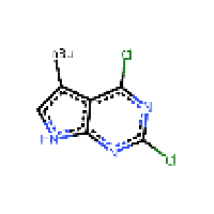 CCCCc1c[nH]c2nc(Cl)nc(Cl)c12